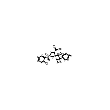 O=C(O)[C@@H]1C[C@@H](S(=O)(=O)c2ccccc2Cl)CN1C(=O)C1(c2ccc(Cl)cc2)CCC1